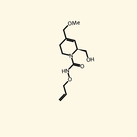 C=CCONC(=O)N1CCC(COC)=C[C@H]1CO